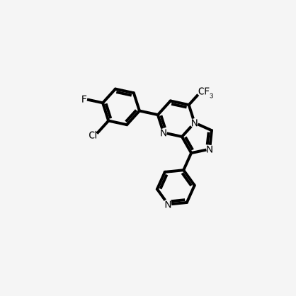 Fc1ccc(-c2cc(C(F)(F)F)n3cnc(-c4ccncc4)c3n2)cc1Cl